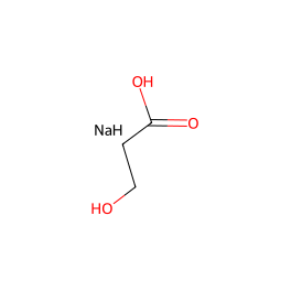 O=C(O)CCO.[NaH]